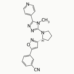 Cn1c(-c2ccncc2)nnc1N1CCC[C@@H]1c1cc(-c2cccc(C#N)c2)on1